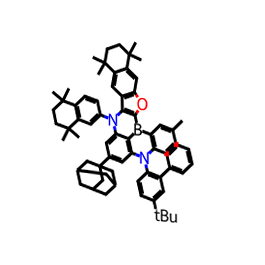 Cc1ccc2c(c1)B1c3oc4cc5c(cc4c3N(c3ccc4c(c3)C(C)(C)CCC4(C)C)c3cc(C46CC7CC(CC(C7)C4)C6)cc(c31)N2c1ccc(C(C)(C)C)cc1-c1ccccc1)C(C)(C)CCC5(C)C